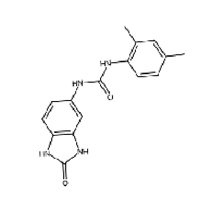 Cc1ccc(NC(=O)Nc2ccc3[nH]c(=O)[nH]c3c2)c(C)c1